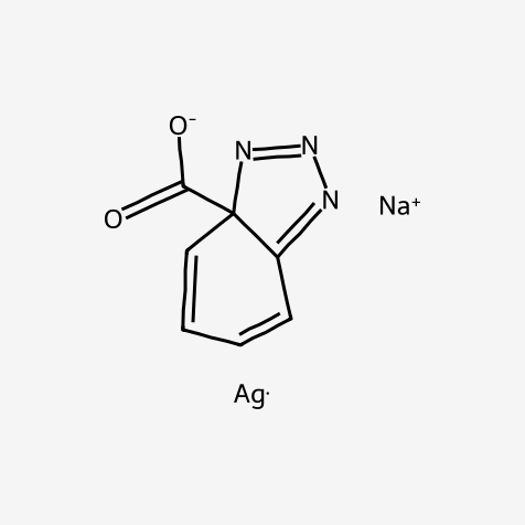 O=C([O-])C12C=CC=CC1=NN=N2.[Ag].[Na+]